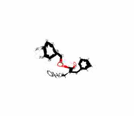 O=CC[C@H](Cc1ccccc1)C(=O)OCc1ccccc1